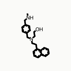 CNCc1ccc(CN(CCO)CCc2cccc3ccccc23)cc1